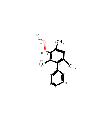 Cc1cc(C)c(-c2ccccc2)c(C)c1OBO